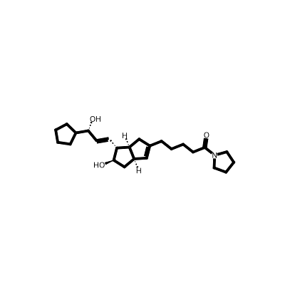 O=C(CCCCC1=C[C@H]2C[C@@H](O)[C@H](/C=C/[C@@H](O)C3CCCC3)[C@H]2C1)N1CCCC1